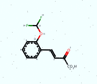 O=C(O)C(=O)C=Cc1ccccc1OC(F)F